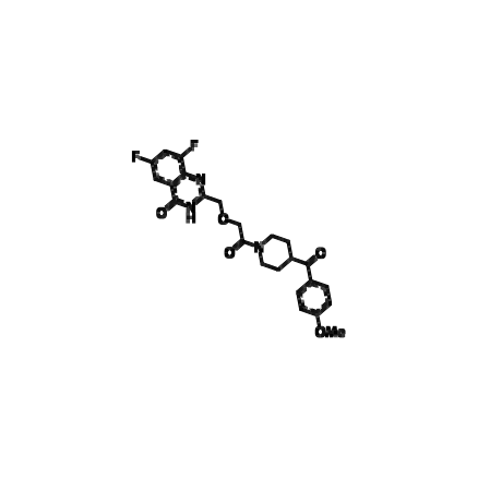 COc1ccc(C(=O)C2CCN(C(=O)COCc3nc4c(F)cc(F)cc4c(=O)[nH]3)CC2)cc1